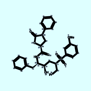 COc1cccc(S(=O)(=O)N(CC(C)C)C[C@@H](O)[C@H](Cc2ccccc2)NC(=O)[C@@H]2CN(c3ccccc3)C(=O)O2)c1